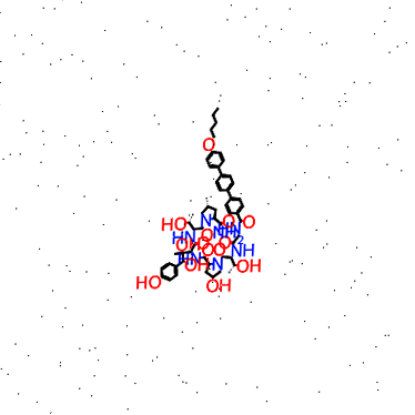 CCCCCOc1ccc(-c2ccc(-c3ccc(C(=O)NCC(=O)NC(C(=O)N4C[C@H](O)CC4C(=O)NC(C(=O)NC(C(=O)N4C[C@H](C)CC4C(N)=O)[C@@H](C)O)C(C)(O)[C@@H](O)c4ccc(O)cc4)[C@@H](C)O)cc3)cc2)cc1